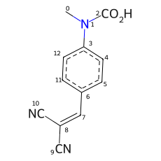 CN(C(=O)O)c1ccc(C=C(C#N)C#N)cc1